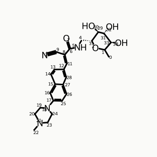 CC1O[C@H](CNC(=O)/C(C#N)=C/c2ccc3cc(N4CCN(C)CC4)ccc3c2)[C@@H](O)[C@H](O)[C@H]1O